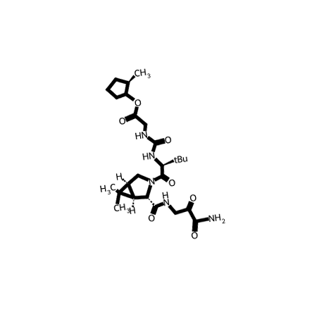 C[C@@H]1CCCC1OC(=O)CNC(=O)N[C@H](C(=O)N1C[C@H]2[C@@H]([C@H]1C(=O)NCC(=O)C(N)=O)C2(C)C)C(C)(C)C